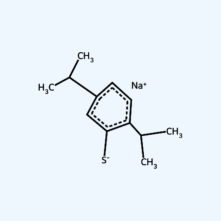 CC(C)c1ccc(C(C)C)c([S-])c1.[Na+]